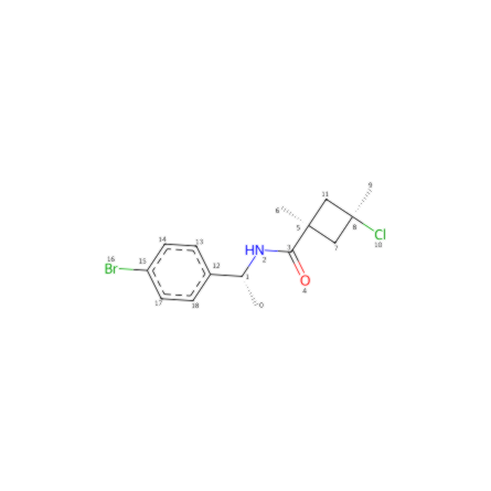 C[C@@H](NC(=O)[C@]1(C)C[C@](C)(Cl)C1)c1ccc(Br)cc1